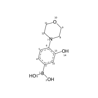 OB(O)c1ccc(N2CCOCC2)c(O)c1